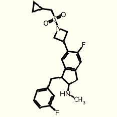 CNC1Cc2cc(F)c(C3CN(S(=O)(=O)CC4CC4)C3)cc2C1Cc1cccc(F)c1